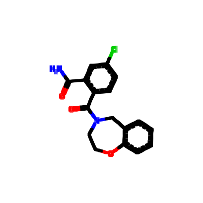 NC(=O)c1cc(Cl)ccc1C(=O)N1CCOc2ccccc2C1